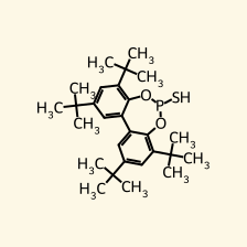 CC(C)(C)c1cc(C(C)(C)C)c2op(S)oc3c(C(C)(C)C)cc(C(C)(C)C)cc3c2c1